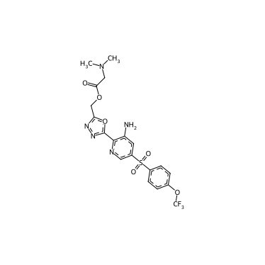 CN(C)CC(=O)OCc1nnc(-c2ncc(S(=O)(=O)c3ccc(OC(F)(F)F)cc3)cc2N)o1